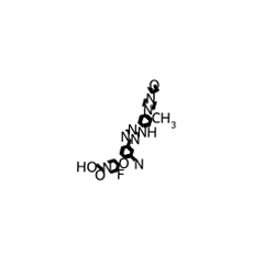 Cc1cc(Nc2ncnc(-c3ccc(OC4CCN(C(=O)CO)CC4F)c(C#N)c3)n2)ccc1N1CCN(C2COC2)CC1